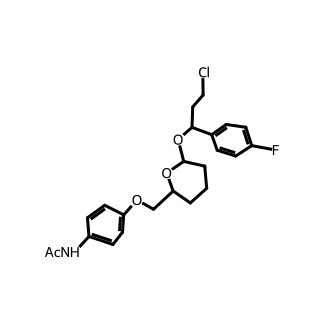 CC(=O)Nc1ccc(OCC2CCCC(OC(CCCl)c3ccc(F)cc3)O2)cc1